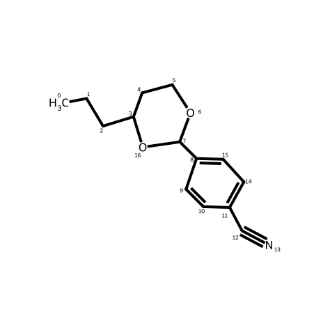 CCCC1CCOC(c2ccc(C#N)cc2)O1